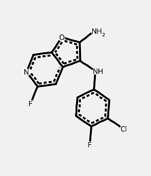 Nc1oc2cnc(F)cc2c1Nc1ccc(F)c(Cl)c1